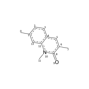 Cc1ccc2cc(C)c(=O)n(C)c2c1